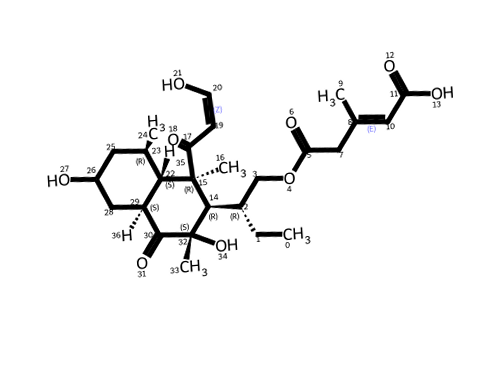 CC[C@@H](COC(=O)C/C(C)=C/C(=O)O)[C@@H]1[C@](C)(C(=O)/C=C\O)[C@H]2[C@H](C)CC(O)C[C@@H]2C(=O)[C@@]1(C)O